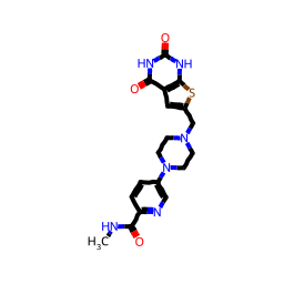 CNC(=O)c1ccc(N2CCN(Cc3cc4c(=O)[nH]c(=O)[nH]c4s3)CC2)cn1